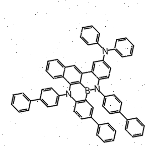 c1ccc(-c2ccc(N3B4c5cc(-c6ccccc6)ccc5N(c5ccc(-c6ccccc6)cc5)c5c4c(cc4ccccc54)-c4cc(N(c5ccccc5)c5ccccc5)ccc43)cc2)cc1